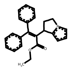 CCOC(=O)C(=C(c1ccccc1)c1ccccc1)C1CCn2cccc21